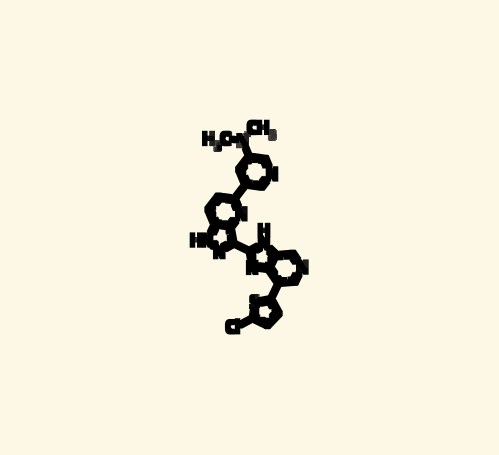 CN(C)c1cncc(-c2ccc3[nH]nc(-c4nc5c(-c6ccc(Cl)s6)cncc5[nH]4)c3n2)c1